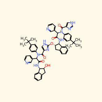 CC(C)(C)c1ccc(N(C(=O)c2c[nH]c(O[C@H]3Cc4ccccc4[C@@H]3NC(=O)C(c3cccnc3)N(C(=O)c3c[nH]cn3)c3ccc(C(C)(C)C)cc3)n2)C(C(=O)N[C@@H]2c3ccccc3C[C@@H]2O)c2cccnc2)cc1